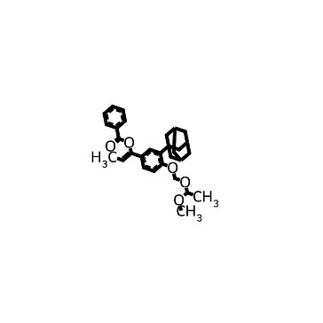 C/C=C(\OC(=O)c1ccccc1)c1ccc(OCOC(C)OC)c(C23CC4CC(CC(C4)C2)C3)c1